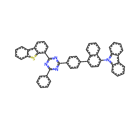 c1ccc(-c2nc(-c3ccc(-c4ccc(-n5c6ccccc6c6ccccc65)c5ccccc45)cc3)nc(-c3cccc4c3sc3ccccc34)n2)cc1